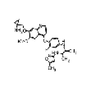 C=C(Nc1ccc(Oc2ccnc3cc(OCC4(N)CC4)c(OC)cc23)c(F)c1)C(=C)Nc1cc(C)on1